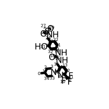 CC1CCN(c2nc(C(F)(F)F)ccc2CNC(=O)Nc2ccc(CNS(C)(=O)=O)c(O)c2)CC1